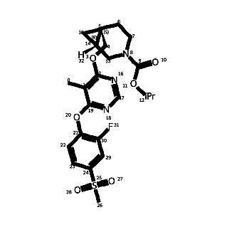 Cc1c(OC[C@@]23CCN(C(=O)OC(C)C)C[C@@H]2C3)ncnc1Oc1ccc(S(C)(=O)=O)cc1F